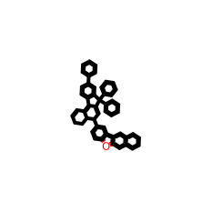 C1=CC2=C3C(=CC(c4ccc5oc6cc7ccccc7cc6c5c4)C2CC1)C(c1ccccc1)(c1ccccc1)c1cc(-c2ccccc2)ccc13